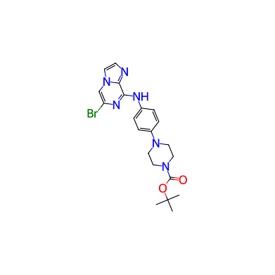 CC(C)(C)OC(=O)N1CCN(c2ccc(Nc3nc(Br)cn4ccnc34)cc2)CC1